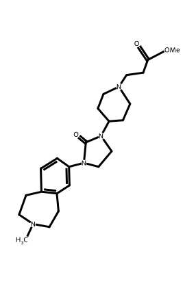 COC(=O)CCN1CCC(N2CCN(c3ccc4c(c3)CCN(C)CC4)C2=O)CC1